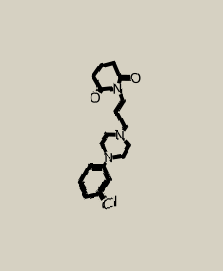 O=C1CCCC(=O)N1CCCN1CCN(c2cccc(Cl)c2)CC1